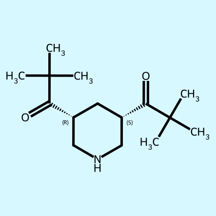 CC(C)(C)C(=O)[C@@H]1CNC[C@H](C(=O)C(C)(C)C)C1